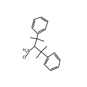 CC(C)(c1ccccc1)C([SiH2]Cl)C(C)(C)c1ccccc1